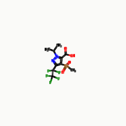 CC(C)n1nc(C(F)(F)C(F)(F)F)c(S(C)(=O)=O)c1C(=O)O